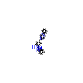 Cn1c(N[C@H]2CC[C@@H](CCN3CCN(c4ccccc4)CC3)CC2)nc2ccccc21